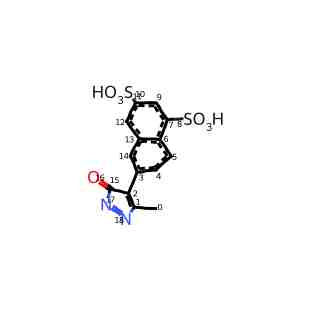 CC1=C(c2ccc3c(S(=O)(=O)O)cc(S(=O)(=O)O)cc3c2)C(=O)N=N1